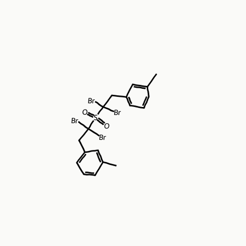 Cc1cccc(CC(Br)(Br)S(=O)(=O)C(Br)(Br)Cc2cccc(C)c2)c1